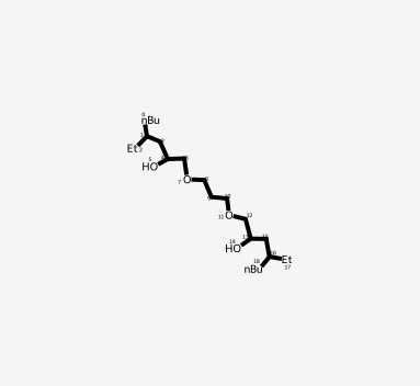 CCCCC(CC)CC(O)COCCCOCC(O)CC(CC)CCCC